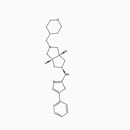 c1ccc(-c2cnc(N[C@H]3C[C@@H]4CN(CC5CCOCC5)C[C@@H]4C3)s2)cc1